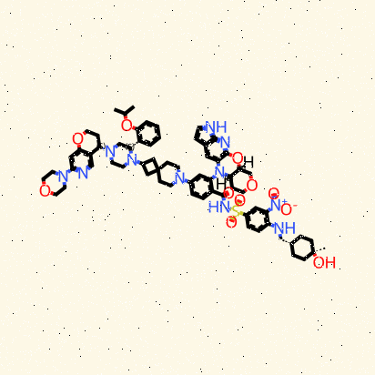 CC(C)Oc1ccccc1[C@H]1CN([C@H]2CCOc3cc(N4CCOCC4)ncc32)CCN1C1CC2(CCN(c3ccc(C(=O)NS(=O)(=O)c4ccc(NC[C@H]5CC[C@](C)(O)CC5)c([N+](=O)[O-])c4)c(N4c5cc6cc[nH]c6nc5O[C@H]5COCC[C@@H]54)c3)CC2)C1